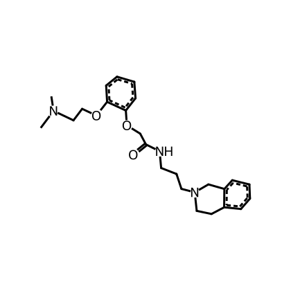 CN(C)CCOc1ccccc1OCC(=O)NCCCN1CCc2ccccc2C1